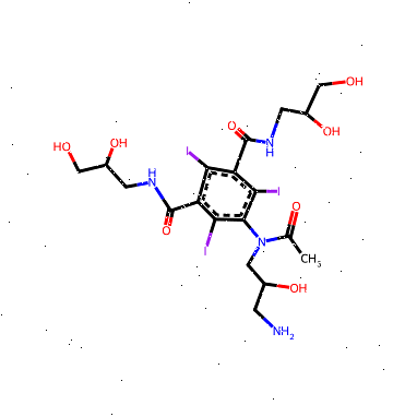 CC(=O)N(CC(O)CN)c1c(I)c(C(=O)NCC(O)CO)c(I)c(C(=O)NCC(O)CO)c1I